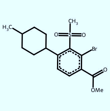 COC(=O)c1ccc(C2CCC(C)CC2)c(S(C)(=O)=O)c1Br